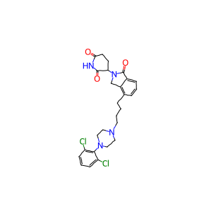 O=C1CCC(N2Cc3c(CCCCN4CCN(c5c(Cl)cccc5Cl)CC4)cccc3C2=O)C(=O)N1